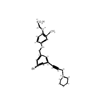 Cc1cc(OCc2cc(Br)cc(C#CCN3CCCCC3)c2)ccc1OCC(=O)O